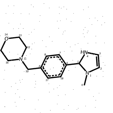 CN1C=CNC1c1ccc(CN2CCOCC2)cc1